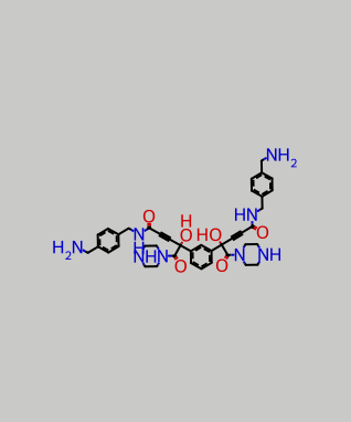 NCc1ccc(CNC(=O)C#CC(O)(C(=O)N2CCNCC2)c2cccc(C(O)(C#CC(=O)NCc3ccc(CN)cc3)C(=O)N3CCNCC3)c2)cc1